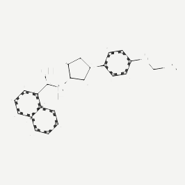 C[C@@H](N[C@H]1CC[C@@H](c2ccc(OCC#N)cc2)C1)c1cccc2ccccc12